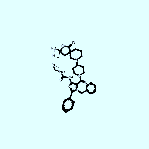 CCNC(=O)Nc1nc(-c2ccccc2)n(Cc2ccccc2)c1C(=O)N1CCC(N2CCCC3(C2)CC(C)(C)OC3=O)CC1